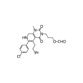 CC(C)CCC1=C(c2ccc(Cl)cc2)NCc2c1c(=O)n(CCCOC=O)c(=O)n2C